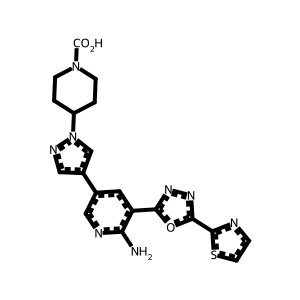 Nc1ncc(-c2cnn(C3CCN(C(=O)O)CC3)c2)cc1-c1nnc(-c2nccs2)o1